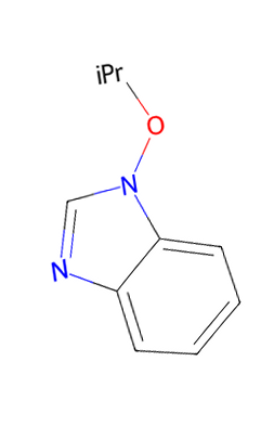 CC(C)On1cnc2ccccc21